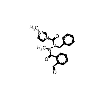 CN(C(=O)c1ccccc1C=O)N(Cc1ccccc1)C(=O)n1cc[n+](C)c1